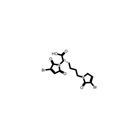 O=C(O)[C@H](CCCCN1CC=C(Br)C1=O)N1C(=O)C=C(Br)C1=O